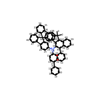 CC1(C)c2ccccc2-c2c(N(c3ccc(-c4ccccc4)cc3)c3ccc4c(c3)C3(c5ccccc5-c5ccccc53)c3ccccc3-4)c(-c3ccccc3)c3ccccc3c21